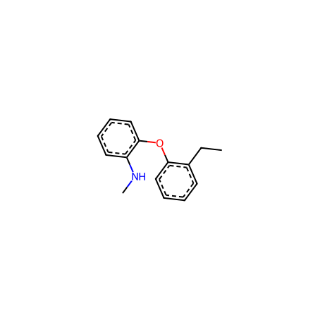 CCc1ccccc1Oc1ccccc1NC